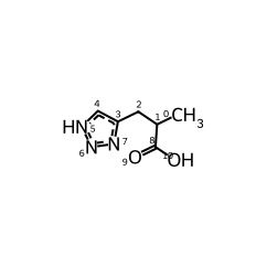 CC(Cc1c[nH]nn1)C(=O)O